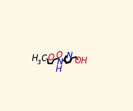 C[C@@H]1CCC(C(=O)Nc2ccc(CO)nc2)O1